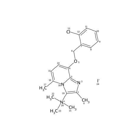 Cc1nc2c(OCc3ccccc3Cl)ccc(C)n2c1[N+](C)(C)C.[I-]